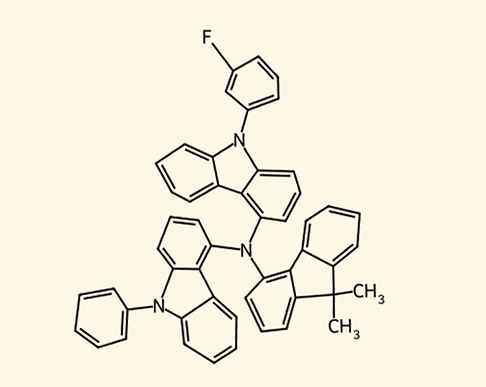 CC1(C)c2ccccc2-c2c(N(c3cccc4c3c3ccccc3n4-c3ccccc3)c3cccc4c3c3ccccc3n4-c3cccc(F)c3)cccc21